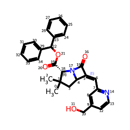 CC1(C)CC2/C(=C\c3cc(CO)ccn3)C(=O)N2[C@H]1C(=O)OC(c1ccccc1)c1ccccc1